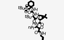 C=CCNC(=O)C(=O)C(CCC)NC(=O)[C@@H]1C2C(CN1C(=O)[C@@H](NC(=O)NC1(CS(=O)(=O)C(C)(C)C)CCCCC1)C(C)(C)C)C2(C)C